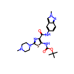 CN1CCN(c2nc(C(=O)Nc3ccc4nn(C)cc4c3)c(NC(=O)OC(C)(C)C)s2)CC1